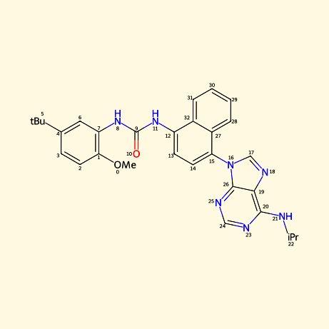 COc1ccc(C(C)(C)C)cc1NC(=O)Nc1ccc(-n2cnc3c(NC(C)C)ncnc32)c2ccccc12